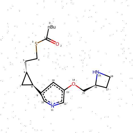 CCCCC(=O)SCC[C@H]1C[C@@H]1c1cncc(OC[C@@H]2CCN2)c1